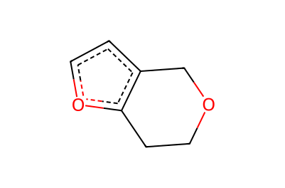 c1cc2c(o1)CCOC2